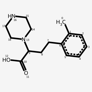 Cc1ccccc1CCC(C(=O)O)N1CCNCC1